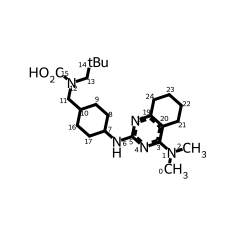 CN(C)c1nc(NC2CCC(CN(CC(C)(C)C)C(=O)O)CC2)nc2c1CCCC2